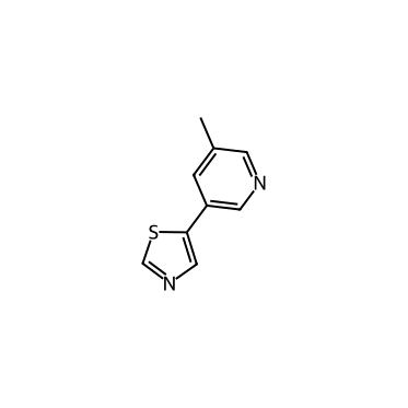 Cc1cncc(-c2cncs2)c1